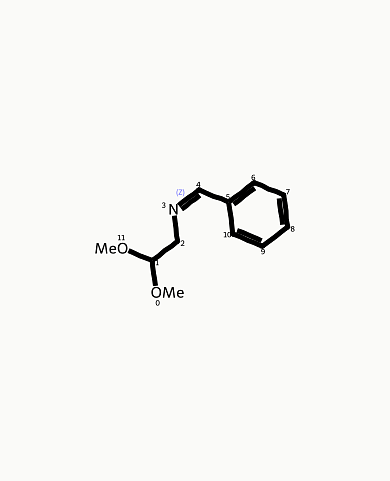 COC(C/N=C\c1ccccc1)OC